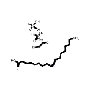 CCCCCCCC/C=C\CCCCCCCC(=O)O.O=P(O)(O)O.O=P(O)(O)O.OCCO